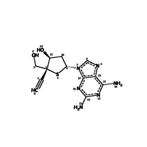 C#C[C@]1(CO)S[C@@H](n2cnc3c(N)nc(N)nc32)C[C@@H]1O